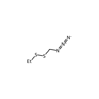 CCSSCN=[N+]=[N-]